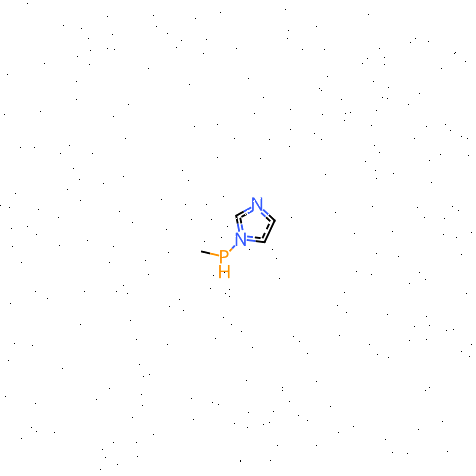 CPn1ccnc1